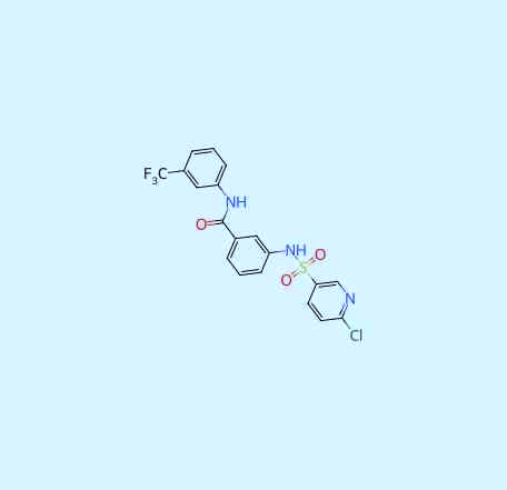 O=C(Nc1cccc(C(F)(F)F)c1)c1cccc(NS(=O)(=O)c2ccc(Cl)nc2)c1